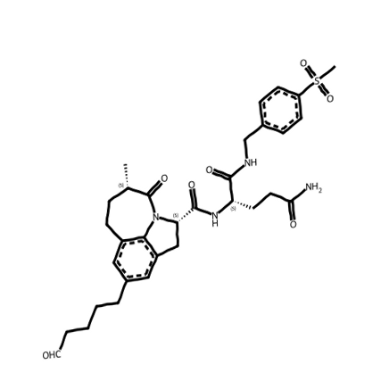 C[C@H]1CCc2cc(CCCCC=O)cc3c2N(C1=O)[C@H](C(=O)N[C@@H](CCC(N)=O)C(=O)NCc1ccc(S(C)(=O)=O)cc1)C3